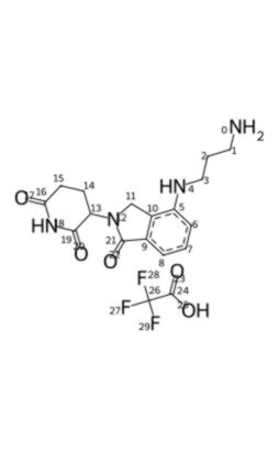 NCCCNc1cccc2c1CN(C1CCC(=O)NC1=O)C2=O.O=C(O)C(F)(F)F